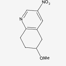 COC1CCc2ncc([N+](=O)[O-])cc2C1